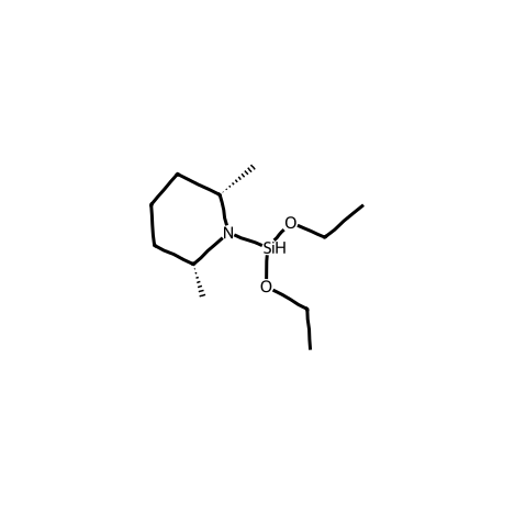 CCO[SiH](OCC)N1[C@H](C)CCC[C@@H]1C